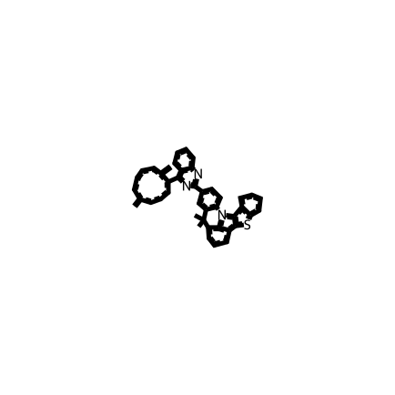 C=c1ccccc(=C)c(-c2nc(-c3ccc4c(c3)C(C)(C)c3cccc5c6sc7ccccc7c6n-4c35)nc3ccccc23)ccc1